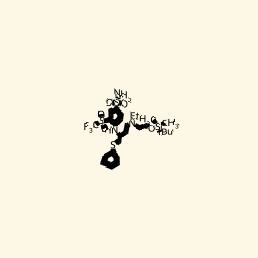 CCN(CCO[Si](C)(C)C(C)(C)C)CCC(CSc1ccccc1)Nc1ccc(S(N)(=O)=O)cc1S(=O)(=O)C(F)(F)F